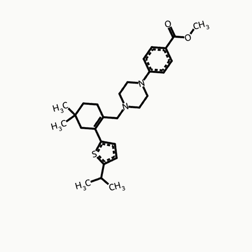 COC(=O)c1ccc(N2CCN(CC3=C(c4ccc(C(C)C)s4)CC(C)(C)CC3)CC2)cc1